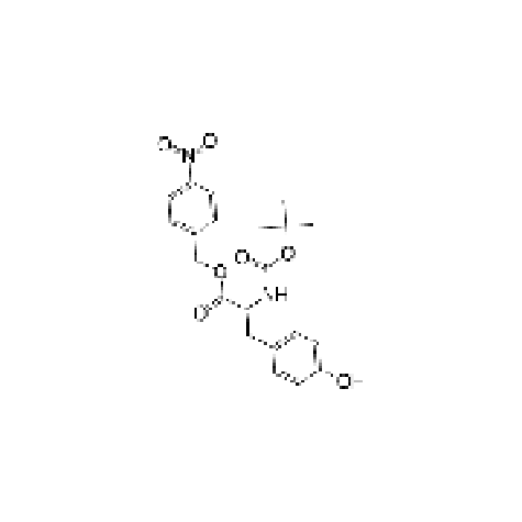 CC(C)(C)OC(=O)N[C@@H](Cc1ccc(O)cc1)C(=O)OCc1ccc([N+](=O)[O-])cc1